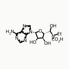 CCN(C(=O)O)C(O)[C@H]1O[C@@H](n2cnc3c(N)ncnc32)[C@H](O)[C@@H]1O